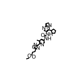 CCOC(=O)CCc1nc(-c2ncc(NC(=O)Nc3cnc4ccnn4c3C3CCCC3)cc2C)no1